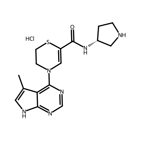 Cc1c[nH]c2ncnc(N3C=C(C(=O)N[C@@H]4CCNC4)SCC3)c12.Cl